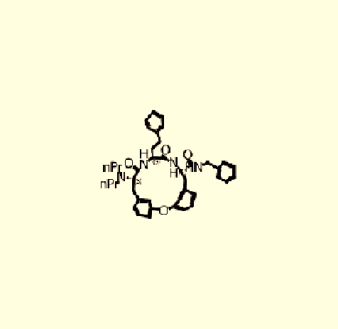 CCCN(CCC)[C@H]1Cc2cccc(c2)Oc2cccc(c2)C[C@@H](C(=O)NCc2ccccc2)NC(=O)[C@H](CCc2ccccc2)NC1=O